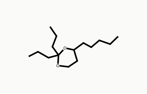 CCCCCC1CCOC(CCC)(CCC)O1